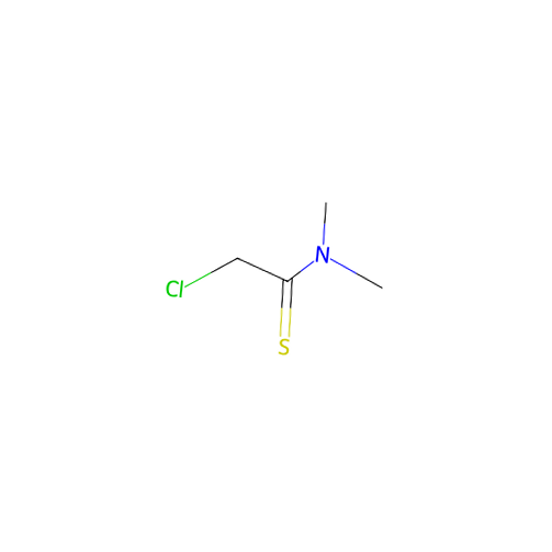 CN(C)C(=S)CCl